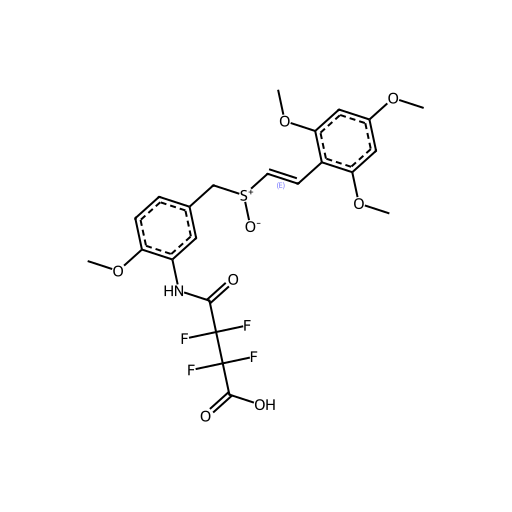 COc1cc(OC)c(/C=C/[S+]([O-])Cc2ccc(OC)c(NC(=O)C(F)(F)C(F)(F)C(=O)O)c2)c(OC)c1